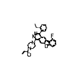 C=CC(=O)N1CCN(c2nnc(-c3ccccc3CC)c3cc4c(cc23)oc2cccc(F)c24)CC1